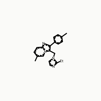 CCc1nccn1Cc1c(-c2ccc(C)cc2)nc2ccc(C)cn12